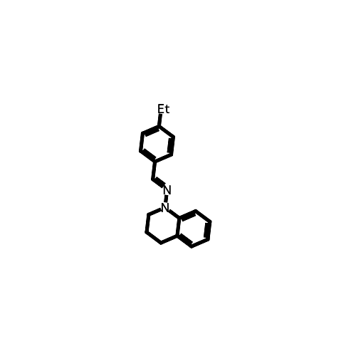 CCc1ccc(C=NN2CCCc3ccccc32)cc1